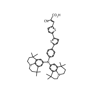 [C-]#[N+]/C(=C\c1ccc(-c2ccc(-c3ccc(N(c4cc5c6c(c4)C(C)(C)CCN6CCC5(C)C)c4cc5c6c(c4)C(C)(C)CCN6CCC5(C)C)cc3)s2)s1)C(=O)O